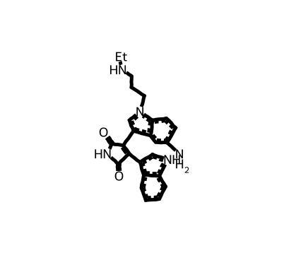 CCNCCCn1cc(C2=C(c3c[nH]c4ccccc34)C(=O)NC2=O)c2cc(N)ccc21